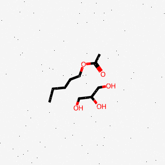 CCCCCOC(C)=O.OCC(O)CO